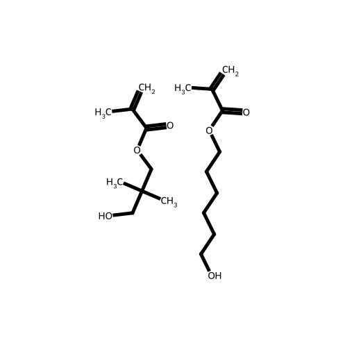 C=C(C)C(=O)OCC(C)(C)CO.C=C(C)C(=O)OCCCCCCO